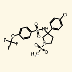 CS(=O)(=O)N1CCC(NS(=O)(=O)c2ccc(OC(F)(F)F)cc2)(c2ccc(Cl)cc2)C1